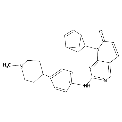 CN1CCN(c2ccc(Nc3ncc4ccc(=O)n(C5CC6C=CC5C6)c4n3)cc2)CC1